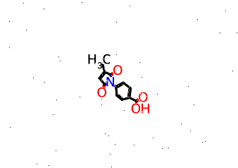 CCC1=CC(=O)N(c2ccc(C(=O)O)cc2)C1=O